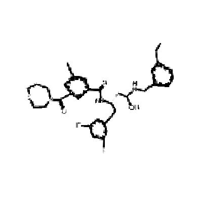 CCc1cccc(CNC(O)C[C@H](Cc2cc(F)cc(F)c2)NC(=O)c2cc(C)cc(C(=O)N3CCCCCC3)c2)c1